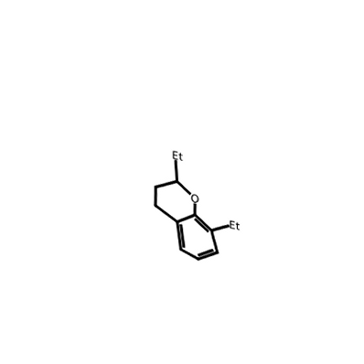 CCc1cccc2c1OC(CC)CC2